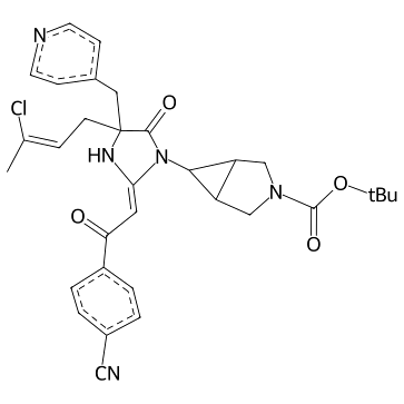 CC(Cl)=CCC1(Cc2ccncc2)NC(=CC(=O)c2ccc(C#N)cc2)N(C2C3CN(C(=O)OC(C)(C)C)CC32)C1=O